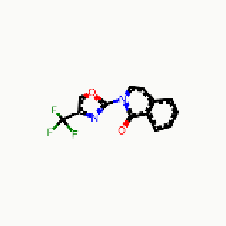 O=c1c2ccccc2ccn1-c1nc(C(F)(F)F)co1